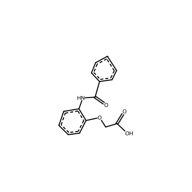 O=C(O)COc1ccccc1NC(=O)c1ccccc1